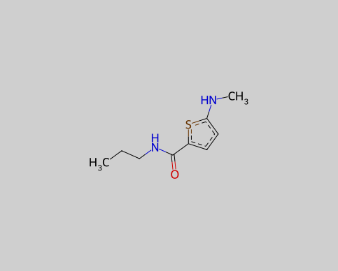 CCCNC(=O)c1ccc(NC)s1